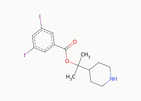 CC(C)(OC(=O)c1cc(I)cc(I)c1)C1CCNCC1